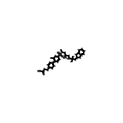 Cc1cc(S(=O)(=O)N(C)CC(O)CNC(C)(C)CC2Cc3ccccc3C2)ccc1-c1ccc(CCC(=O)O)cc1